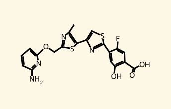 Cc1nc(COc2cccc(N)n2)sc1-c1csc(-c2cc(O)c(C(=O)O)cc2F)n1